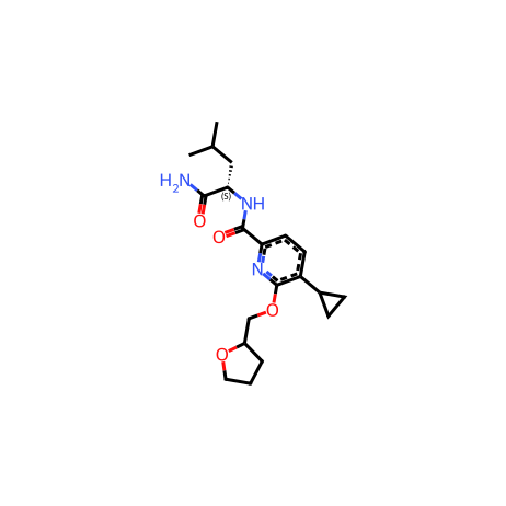 CC(C)C[C@H](NC(=O)c1ccc(C2CC2)c(OCC2CCCO2)n1)C(N)=O